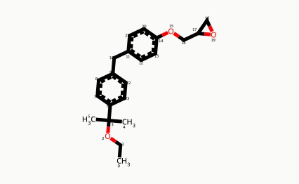 CCOC(C)(C)c1ccc(Cc2ccc(OCC3CO3)cc2)cc1